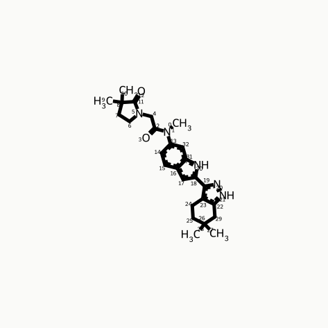 CN(C(=O)CN1CCC(C)(C)C1=O)c1ccc2cc(-c3n[nH]c4c3CCC(C)(C)C4)[nH]c2c1